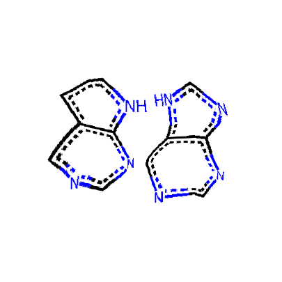 c1ncc2[nH]cnc2n1.c1ncc2cc[nH]c2n1